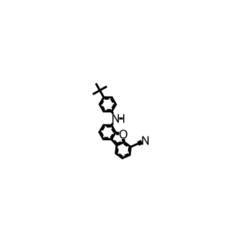 CC(C)(C)c1ccc(N(I)c2cccc3c2oc2c(C#N)cccc23)cc1